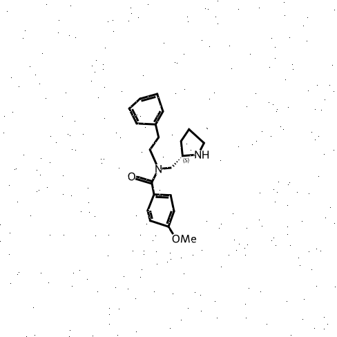 COc1ccc(C(=O)N(CCc2ccccc2)C[C@@H]2CCCN2)cc1